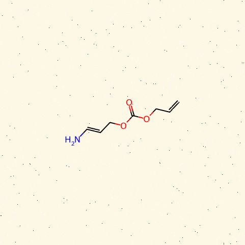 C=CCOC(=O)OCC=CN